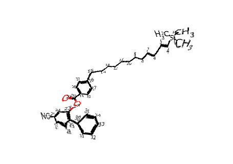 C[Si](C)(C)CCCCCCCCCCCCc1ccc(C(=O)Oc2cc(C#N)ccc2-c2ccccc2)cc1